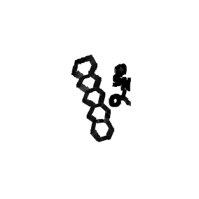 CC(=O)N=S=O.c1ccc2cc3cc4cc5ccccc5cc4cc3cc2c1